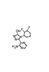 Nc1nccnc1-c1nnc(O)n1-c1cccc(F)c1F